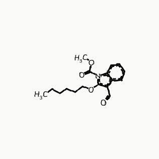 CCCCCCOc1c(C=O)c2ccccc2n1C(=O)OC